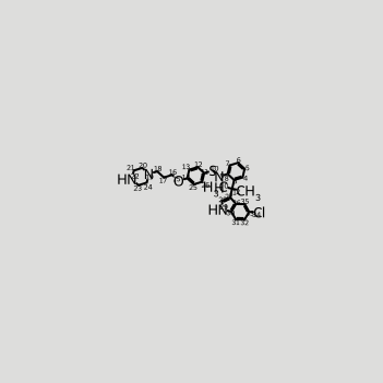 CC(C)(c1ccccc1NSc1ccc(OCCCN2CCNCC2)cc1)c1c[nH]c2ccc(Cl)cc12